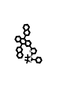 CC1(C)N=C(c2ccccc2)N(c2cccc(-c3ccc4c(-c5ccc6ccccc6c5)c5ccccc5c(-c5ccc6ccccc6c5)c4c3)n2)C1(C)C